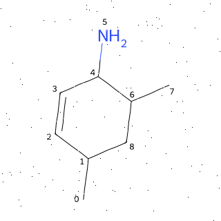 CC1C=CC(N)C(C)C1